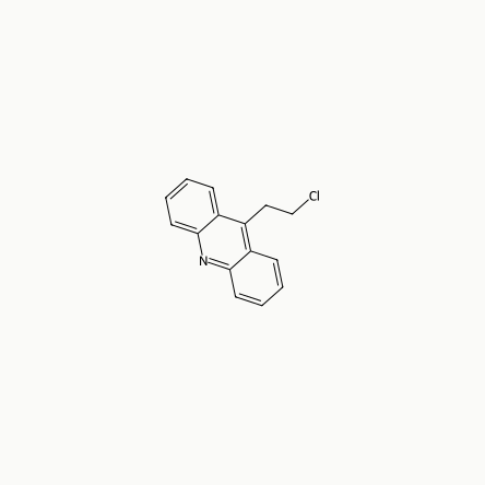 ClCCc1c2ccccc2nc2ccccc12